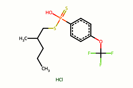 CCCC(C)CSP(O)(=S)c1ccc(OC(F)(F)F)cc1.Cl